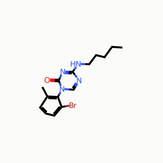 CCCCCNc1ncn(-c2c(C)cccc2Br)c(=O)n1